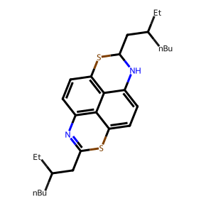 CCCCC(CC)CC1=Nc2ccc3c4c(ccc(c24)S1)NC(CC(CC)CCCC)S3